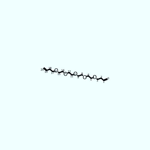 C=CCCOCCOCCOCCOCCOCCC=C